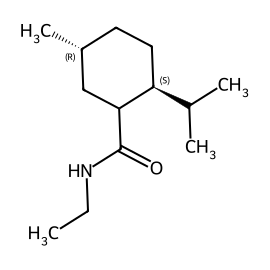 CCNC(=O)C1C[C@H](C)CC[C@H]1C(C)C